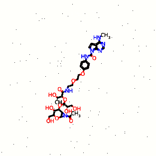 CNc1ncnc2c1ccn2C(=O)Nc1ccc(OCCOCCNC(=O)C(OC(OC2C(O)C(CO)OC3C2N3C(C)=O)[C@@H](O)CO)[C@H](C)O)cc1